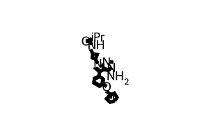 CC(C)C(=O)NCC1CC(n2cc(-c3cccc(OCC45CCC(CC4)O5)c3)c3c(N)ncnc32)C1